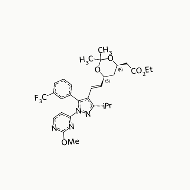 CCOC(=O)C[C@H]1C[C@@H](C=Cc2c(C(C)C)nn(-c3ccnc(OC)n3)c2-c2cccc(C(F)(F)F)c2)OC(C)(C)O1